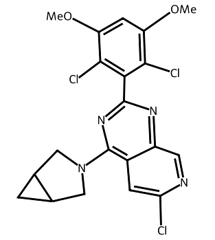 COc1cc(OC)c(Cl)c(-c2nc(N3CC4CC4C3)c3cc(Cl)ncc3n2)c1Cl